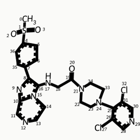 CS(=O)(=O)c1ccc(-c2nc3cnccn3c2NCC(=O)N2CCN(c3c(Cl)cncc3Cl)CC2)cc1